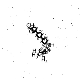 CCC12CCC(c3ccc(-c4ccc(Nc5nnc(C(C)(C)C)o5)cn4)cc3)(CO1)C2